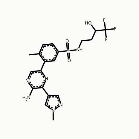 Cc1ccc(S(=O)(=O)NCCC(O)C(F)(F)F)cc1-c1cnc(N)c(-c2cnn(C)c2)n1